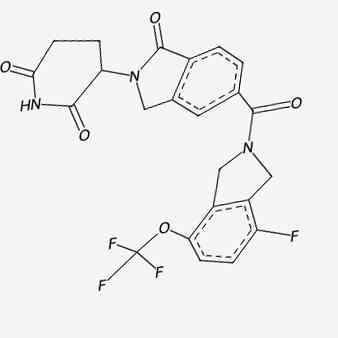 O=C1CCC(N2Cc3cc(C(=O)N4Cc5c(F)ccc(OC(F)(F)F)c5C4)ccc3C2=O)C(=O)N1